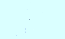 CONC(=O)c1cc(NC(=O)[C@H]2O[C@](C)(C(F)(F)F)[C@H](C)[C@@H]2c2ccc(F)c(F)c2OC)ccn1